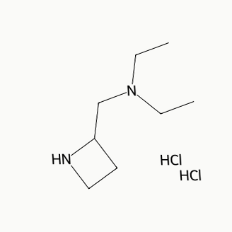 CCN(CC)CC1CCN1.Cl.Cl